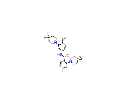 CSc1ccc(NC(=O)c2ccc(C)cc2N2CCC3(CC2)CC3)cc1N1CCC(F)(F)CC1